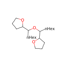 CCCCCCC(OC(CCCCCC)C1CCCO1)C1CCCO1